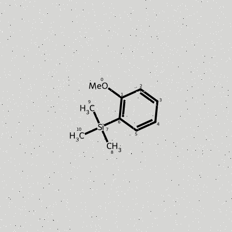 COc1[c]cccc1[Si](C)(C)C